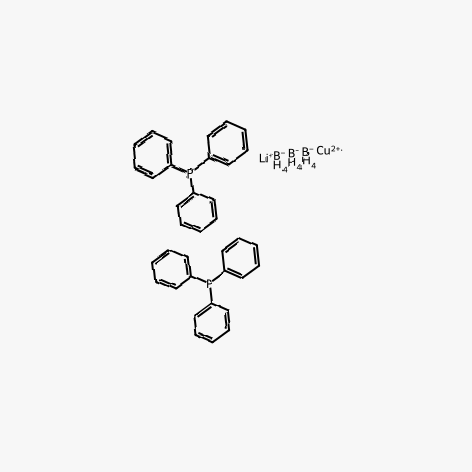 [BH4-].[BH4-].[BH4-].[Cu+2].[Li+].c1ccc(P(c2ccccc2)c2ccccc2)cc1.c1ccc(P(c2ccccc2)c2ccccc2)cc1